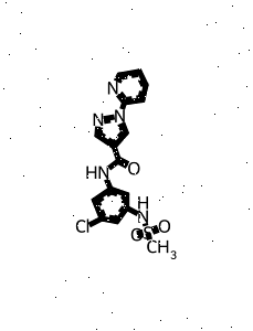 CS(=O)(=O)Nc1cc(Cl)cc(NC(=O)c2cnn(-c3ccccn3)c2)c1